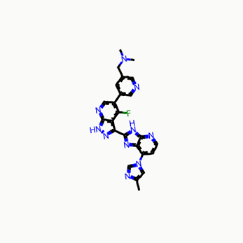 Cc1cn(-c2ccnc3[nH]c(-c4n[nH]c5ncc(-c6cncc(CN(C)C)c6)c(F)c45)nc23)cn1